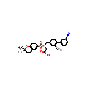 Cc1cc(CN(CC(=O)O)S(=O)(=O)c2ccc3c(c2)CCC(C)(C)O3)ccc1-c1cccc(C#N)c1